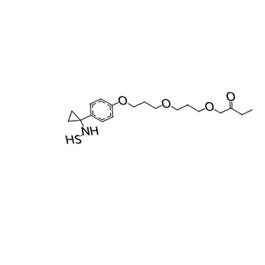 CCC(=O)COCCCOCCCOc1ccc(C2(NS)CC2)cc1